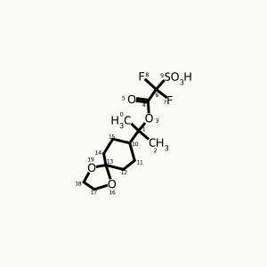 CC(C)(OC(=O)C(F)(F)S(=O)(=O)O)C1CCC2(CC1)OCCO2